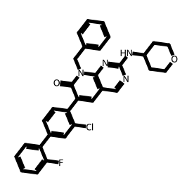 O=c1c(-c2ccc(-c3ccccc3F)cc2Cl)cc2cnc(NC3CCOCC3)nc2n1Cc1ccccc1